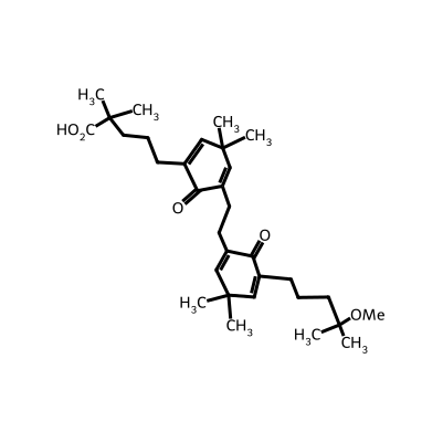 COC(C)(C)CCCC1=CC(C)(C)C=C(CCC2=CC(C)(C)C=C(CCCC(C)(C)C(=O)O)C2=O)C1=O